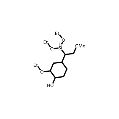 CCOC1CC(C(COC)[SiH](OCC)OCC)CCC1O